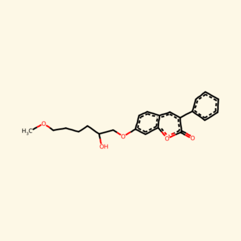 COCCCCC(O)COc1ccc2cc(-c3ccccc3)c(=O)oc2c1